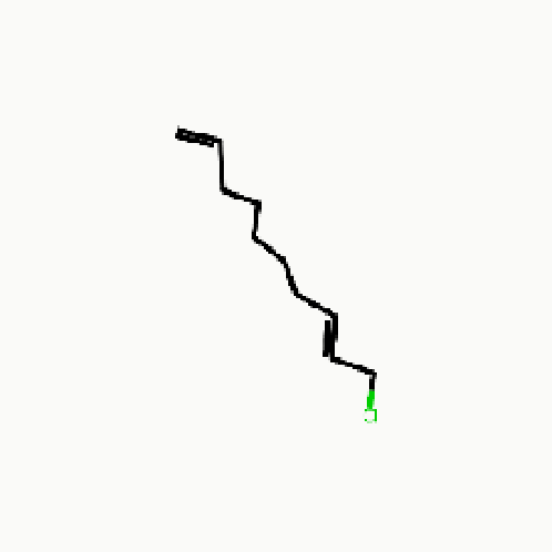 C=CCCCCCC=CCCl